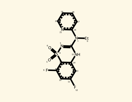 CCN(C1=NS(=O)(=O)c2c(F)cc(F)cc2N1)c1ccccn1